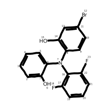 Oc1ccccc1N(c1ccc(Br)cc1O)c1c(F)cccc1F